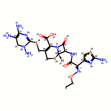 CCO/N=C(\C(=O)NC1C(=O)N2C(C(=O)O)=C(CSC3=NC(N)=C(N)CN3N)CS[C@@H]12)c1csc(N)n1